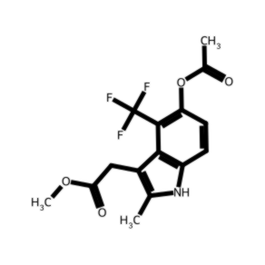 COC(=O)Cc1c(C)[nH]c2ccc(OC(C)=O)c(C(F)(F)F)c12